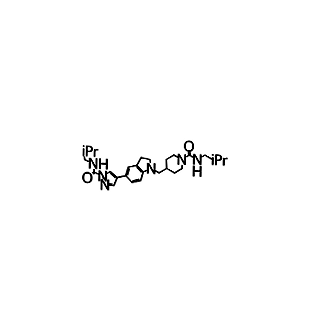 CC(C)CNC(=O)N1CCC(CN2CCc3cc(-c4cnn(C(=O)NCC(C)C)c4)ccc32)CC1